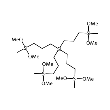 CO[Si](C)(CCC[Si](CCC[Si](C)(OC)OC)(CCC[Si](C)(OC)OC)CCC[Si](C)(OC)OC)OC